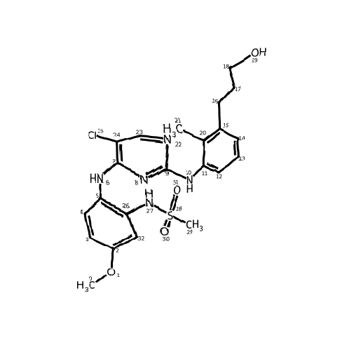 COc1ccc(Nc2nc(Nc3cccc(CCCO)c3C)ncc2Cl)c(NS(C)(=O)=O)c1